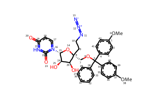 COc1ccc(C(OC[C@@]2(CCN=[N+]=[N-])O[C@@H](n3ccc(=O)[nH]c3=O)[C@H](O)[C@@H]2O)(c2ccccc2)c2ccc(OC)cc2)cc1